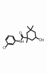 CC1(C)CC(O)CC(C)(C(=O)Nc2cccc(Cl)c2)C1